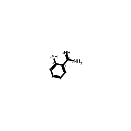 N=C(N)c1ccccc1S